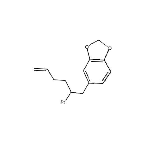 C=CCCC(CC)Cc1ccc2c(c1)OCO2